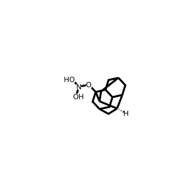 ON(O)OC12CC3CC4C5CC(CC41)CC2[C@@H]5C3